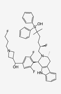 C[C@@H]1Cc2c([nH]c3ccccc23)[C@@H](c2c(F)cc(C(O)C3CN(CCCF)C3)cc2F)N1C[C@H](F)CCC(C)(C)[Si](O)(c1ccccc1)c1ccccc1